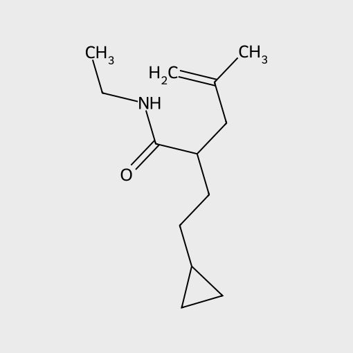 C=C(C)CC(CCC1CC1)C(=O)NCC